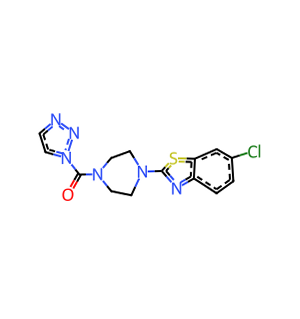 O=C(N1CCN(c2nc3ccc(Cl)cc3s2)CC1)n1ccnn1